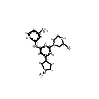 CCC1CN(c2nc(Nc3cc(C(F)(F)F)ccn3)cc(C3CCN(C(C)=O)C3)n2)CCO1